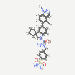 CNS(=O)(=O)c1ccc(CNC(=O)N2CC3(CCCC3)c3cc(-c4ccc5c(cnn5C)c4C)ccc32)cc1